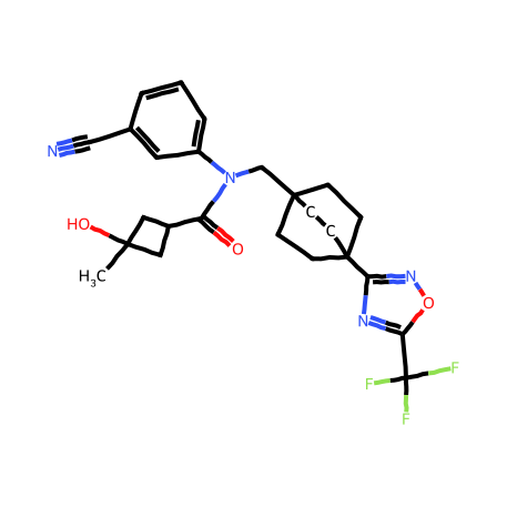 CC1(O)CC(C(=O)N(CC23CCC(c4noc(C(F)(F)F)n4)(CC2)CC3)c2cccc(C#N)c2)C1